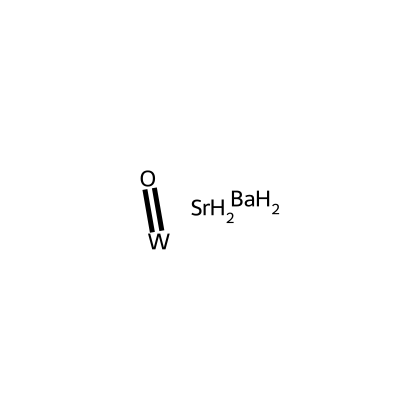 [BaH2].[O]=[W].[SrH2]